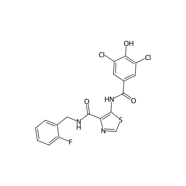 O=C(Nc1scnc1C(=O)NCc1ccccc1F)c1cc(Cl)c(O)c(Cl)c1